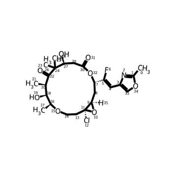 Cc1nc(C=C(F)[C@@H]2C[C@H]3O[C@@]3(Cl)CCO[C@@H](C)[C@@H](O)[C@@H](C)C(=O)C(C)(C)[C@@H](O)CC(=O)O2)co1